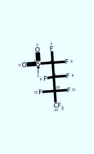 O=S(=O)(I)C(F)(F)C(F)(F)C(F)(F)C(F)(F)F